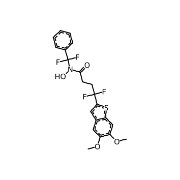 COc1cc2cc(C(F)(F)CCC(=O)N(O)C(F)(F)c3ccccc3)sc2cc1OC